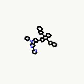 c1ccc(-n2c3ccc(-c4ccc5c(-c6ccc7ccccc7c6)c6ccccc6c(-c6ccc7ccccc7c6)c5c4)cc3c3cc(-c4ccccn4)ncc32)cc1